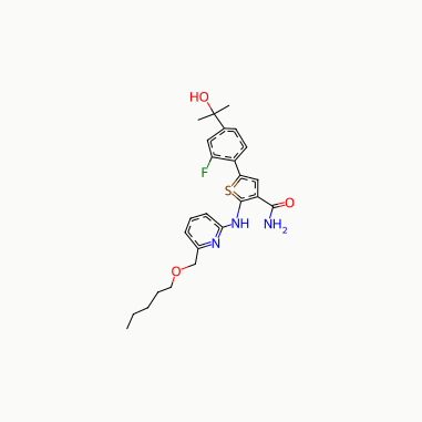 CCCCCOCc1cccc(Nc2sc(-c3ccc(C(C)(C)O)cc3F)cc2C(N)=O)n1